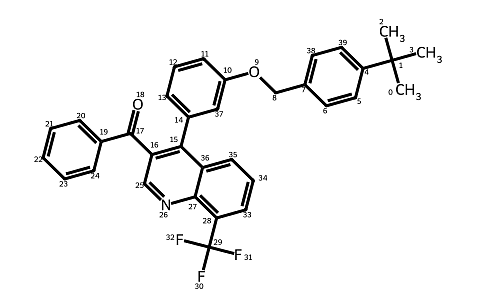 CC(C)(C)c1ccc(COc2cccc(-c3c(C(=O)c4ccccc4)cnc4c(C(F)(F)F)cccc34)c2)cc1